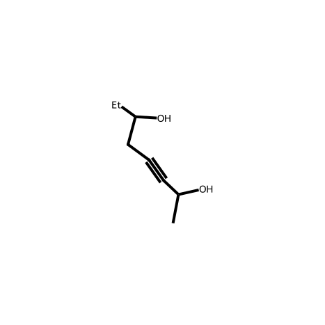 CCC(O)CC#CC(C)O